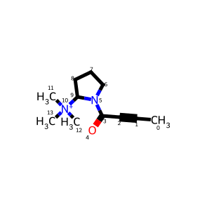 CC#CC(=O)N1CCCC1[N+](C)(C)C